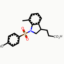 COc1ccc(S(=O)(=O)N2CC(CCC(=O)O)c3cccc(C)c32)cc1